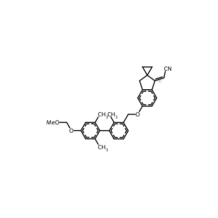 COCOc1cc(C)c(-c2cccc(COc3ccc4c(c3)CC3(CC3)/C4=C\C#N)c2C)c(C)c1